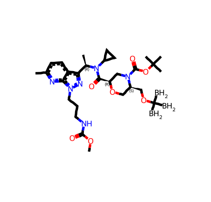 BC(B)(B)OC[C@H]1CO[C@@H](C(=O)N(C2CC2)[C@H](C)c2nn(CCCNC(=O)OC)c3nc(C)ccc23)CN1C(=O)OC(C)(C)C